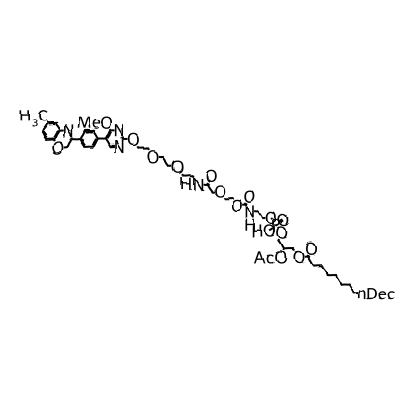 CCCCCCCCCCCCCCCCCC(=O)OCC(COP(=O)(O)OCCNC(=O)OCCOCC(=O)NCCOCCOCCOc1ncc(-c2ccc(C3=Nc4cc(C)ccc4OC3)cc2)c(OC)n1)OC(C)=O